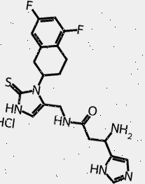 Cl.NC(CC(=O)NCc1c[nH]c(=S)n1C1CCc2c(F)cc(F)cc2C1)c1cnc[nH]1